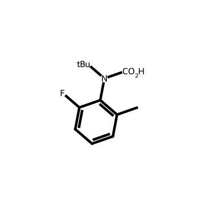 Cc1cccc(F)c1N(C(=O)O)C(C)(C)C